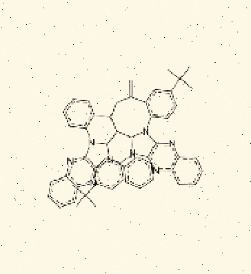 C=C1CC2c3ccccc3N3c4nc5ccccc5nc4N(c4ccccc4)C3C2C2N(c3ccc(C(C)(C)C)cc3)c3nc4ccccc4nc3N2c2ccc(C(C)(C)C)cc21